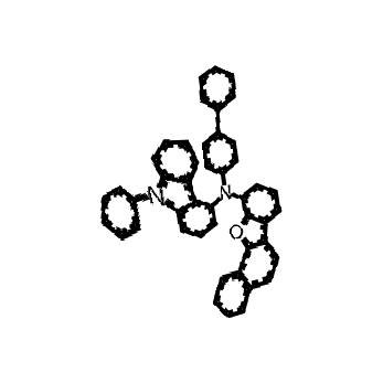 c1ccc(-c2ccc(N(c3cccc4c3oc3c5ccccc5ccc43)c3cccc4c3c3ccccc3n4-c3ccccc3)cc2)cc1